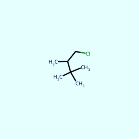 CC(CCl)C(C)(C)C